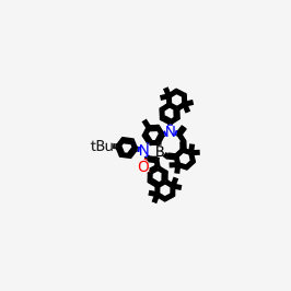 C=C1/C=C2\C(=C/B3c4c(cc(C)cc4N(c4ccc(C(C)(C)C)cc4)c4oc5cc6c(cc5c43)C(C)(C)CCC6(C)C)N1C1=CCC3C(=C1)C(C)(C)CCC3(C)C)C(C)(C)CCC2(C)C